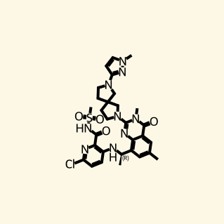 Cc1cc([C@@H](C)Nc2ccc(Cl)nc2C(=O)NS(C)(=O)=O)c2nc(N3CCC4(CCN(c5ccn(C)n5)C4)C3)n(C)c(=O)c2c1